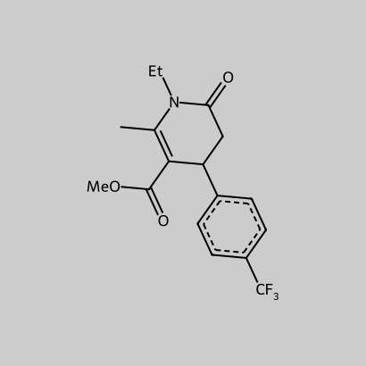 CCN1C(=O)CC(c2ccc(C(F)(F)F)cc2)C(C(=O)OC)=C1C